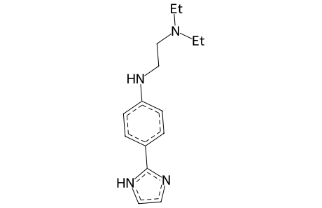 CCN(CC)CCNc1ccc(-c2ncc[nH]2)cc1